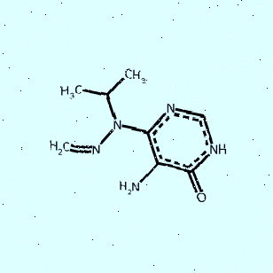 C=NN(c1nc[nH]c(=O)c1N)C(C)C